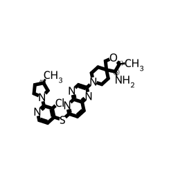 C[C@@H]1CCN(c2nccc(Sc3ccc4nc(N5CCC6(CC5)CO[C@@H](C)[C@H]6N)cnc4n3)c2Cl)C1